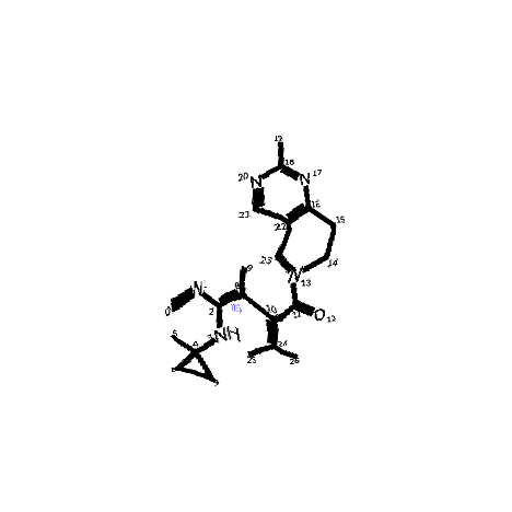 C=N/C(NC1(C)CC1)=C(\C)C(C(=O)N1CCc2nc(C)ncc2C1)=C(C)C